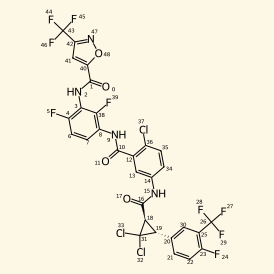 O=C(Nc1c(F)ccc(NC(=O)c2cc(NC(=O)[C@H]3[C@H](c4ccc(F)c(C(F)(F)F)c4)C3(Cl)Cl)ccc2Cl)c1F)c1cc(C(F)(F)F)no1